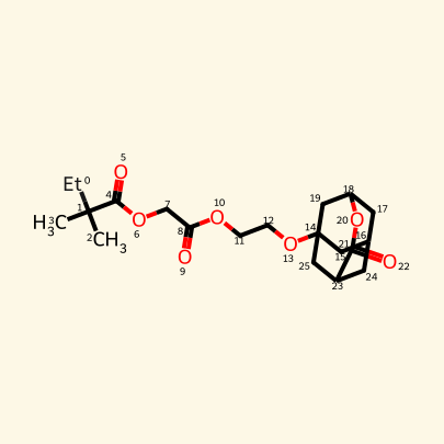 CCC(C)(C)C(=O)OCC(=O)OCCOC12CC3CC(C1)OC(=O)C(C3)C2